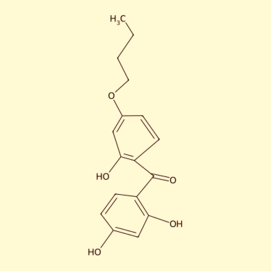 CCCCOc1ccc(C(=O)c2ccc(O)cc2O)c(O)c1